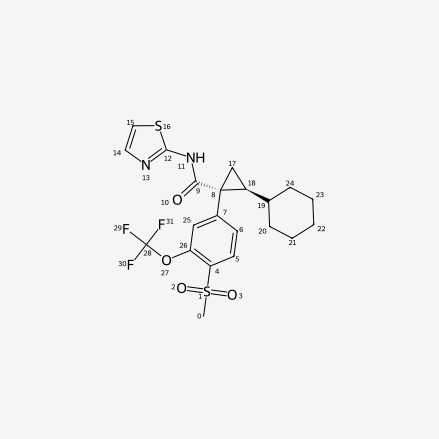 CS(=O)(=O)c1ccc([C@@]2(C(=O)Nc3nccs3)C[C@H]2C2CCCCC2)cc1OC(F)(F)F